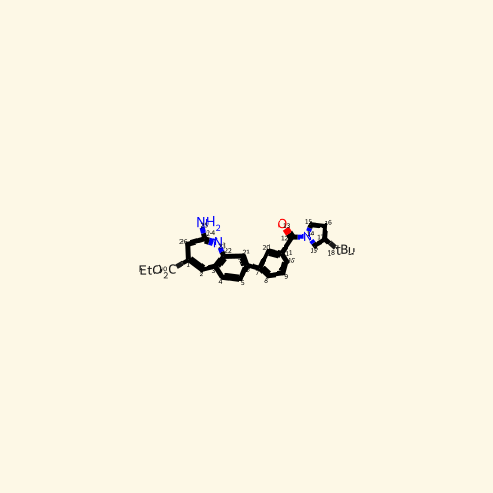 CCOC(=O)C1=Cc2ccc(-c3cccc(C(=O)N4CCC(C(C)(C)C)C4)c3)cc2N=C(N)C1